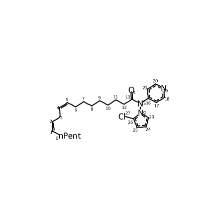 CCCCC/C=C\C/C=C\CCCCCCCC(=O)N(c1ccncc1)n1cccc1Cl